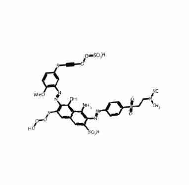 COc1ccc(SC#COOS(=O)(=O)O)cc1N=Nc1c(SOOO)cc2cc(S(=O)(=O)O)c(N=Nc3ccc(S(=O)(=O)CCN(C)N=O)cc3)c(N)c2c1O